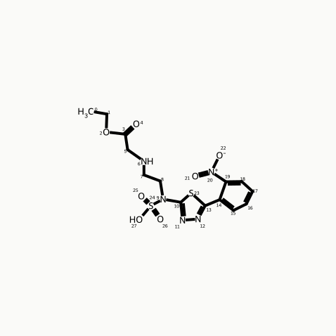 CCOC(=O)CNCCN(c1nnc(-c2ccccc2[N+](=O)[O-])s1)S(=O)(=O)O